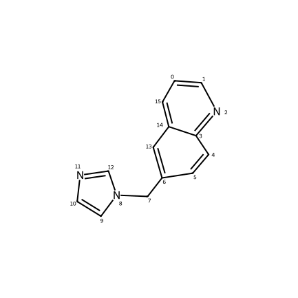 c1cnc2ccc(Cn3ccnc3)cc2c1